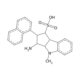 CN1c2ccccc2C2C1C(N)C(c1cccc3ccccc13)C2S(=O)(=O)O